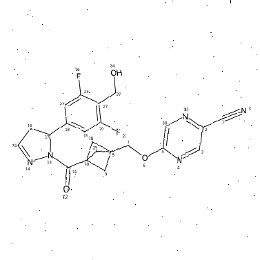 N#Cc1cnc(OCC23CC(C(=O)N4N=CCC4c4cc(F)c(CO)c(F)c4)(C2)C3)cn1